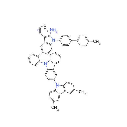 C/C=C\c1c(N)n(-c2ccc(-c3ccc(C)cc3)cc2)c2ccc(-c3ccccc3-n3c4ccccc4c4cc(-n5c6ccc(C)cc6c6cc(C)ccc65)ccc43)cc12